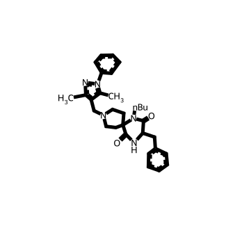 CCCCN1C(=O)C(Cc2ccccc2)NC(=O)C12CCN(Cc1c(C)nn(-c3ccccc3)c1C)CC2